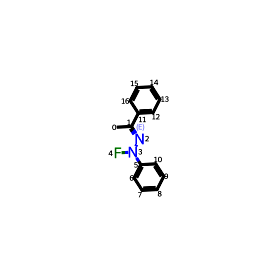 C/C(=N\N(F)c1ccccc1)c1ccccc1